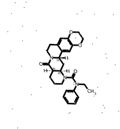 CCN(C(=O)N1CCC[C@H]2C(=O)N3CCc4cc5c(cc4[C@@H]3C[C@H]21)OCCO5)c1ccccc1